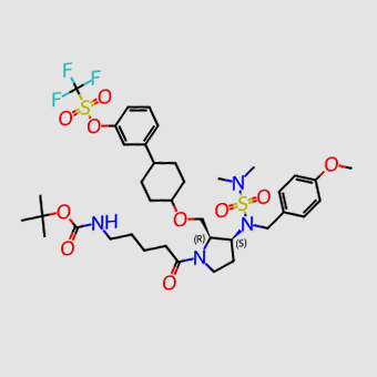 COc1ccc(CN([C@H]2CCN(C(=O)CCCCNC(=O)OC(C)(C)C)[C@H]2COC2CCC(c3cccc(OS(=O)(=O)C(F)(F)F)c3)CC2)S(=O)(=O)N(C)C)cc1